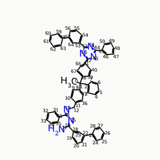 CC(c1ccccc1)(c1ccc(C/N=C(\N=C(/N)c2cccc(-c3ccccc3)c2)c2ccccc2)cc1)c1ccc(-c2nc(-c3ccccc3)nc(-c3cccc(-c4ccccc4)c3)n2)cc1